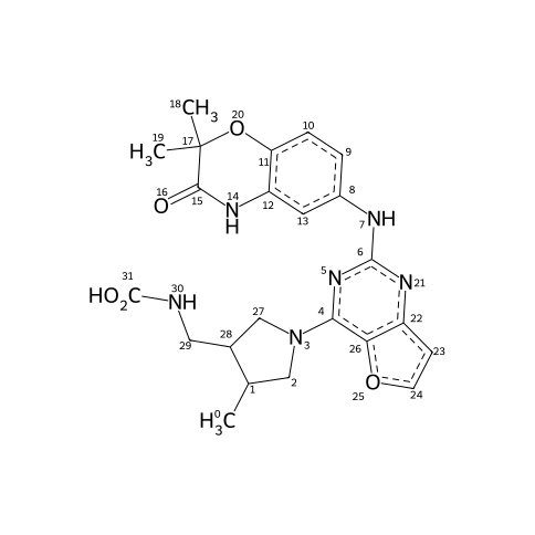 CC1CN(c2nc(Nc3ccc4c(c3)NC(=O)C(C)(C)O4)nc3ccoc23)CC1CNC(=O)O